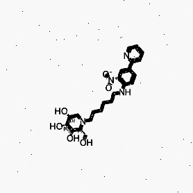 O=[N+]([O-])c1cc(-c2ccccn2)ccc1NCCCCCCN1C[C@H](O)[C@@H](O)[C@H](O)[C@H]1CO